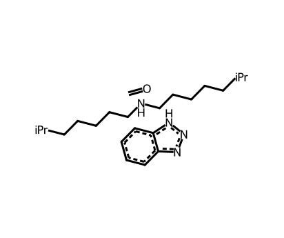 C=O.CC(C)CCCCCNCCCCCC(C)C.c1ccc2[nH]nnc2c1